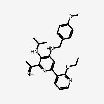 CCOc1ncccc1-c1cc(NCc2ccc(OC)cc2)c(NC(C)C)c(C(C)=N)n1